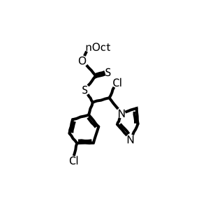 CCCCCCCCOC(=S)SC(c1ccc(Cl)cc1)C(Cl)n1ccnc1